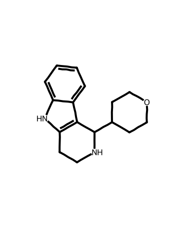 c1ccc2c3c([nH]c2c1)CCNC3C1CCOCC1